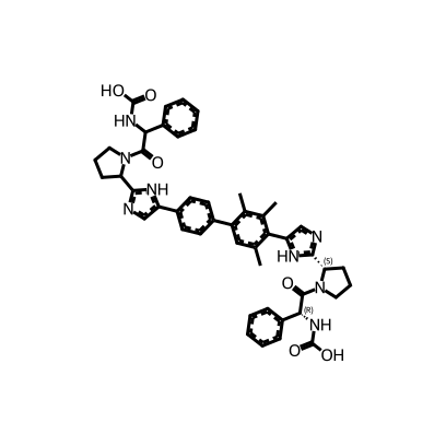 Cc1cc(-c2ccc(-c3cnc(C4CCCN4C(=O)C(NC(=O)O)c4ccccc4)[nH]3)cc2)c(C)c(C)c1-c1cnc([C@@H]2CCCN2C(=O)[C@H](NC(=O)O)c2ccccc2)[nH]1